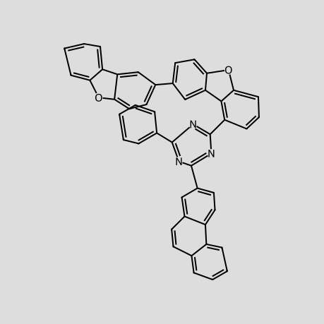 c1ccc(-c2nc(-c3ccc4c(ccc5ccccc54)c3)nc(-c3cccc4oc5ccc(-c6ccc7oc8ccccc8c7c6)cc5c34)n2)cc1